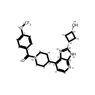 O=C(c1ccc(OC(F)(F)F)cc1)N1CCC(c2ccnc3[nH]c([C@H]4C[C@@H](O)C4)nc23)CC1